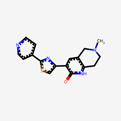 CN1CCc2[nH]c(=O)c(-c3csc(-c4ccncc4)n3)cc2C1